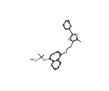 Cc1oc(-c2ccccc2)nc1CCOc1ccc(OC(C)(C)C(=O)O)c2ccccc12